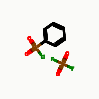 O=S(=O)(Cl)c1ccccc1.O=S(=O)(F)F